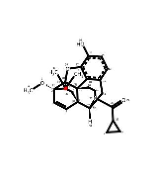 CO[C@@]12C=C[C@@]3(CC1(C)C)[C@H]1Cc4ccc(O)c5c4[C@@]3(CCN1C(=O)C1CC1)[C@H]2O5